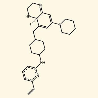 C=Cc1cccc(NC2CCC(CC3=CC(N4CCCCC4)=CC4=NCCP[C@H]34)CC2)n1